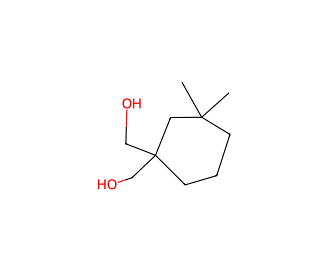 CC1(C)CCCC(CO)(CO)C1